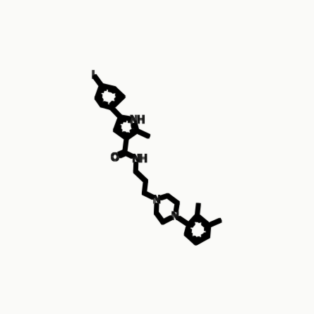 Cc1cccc(N2CCN(CCCNC(=O)c3cc(-c4ccc(I)cc4)[nH]c3C)CC2)c1C